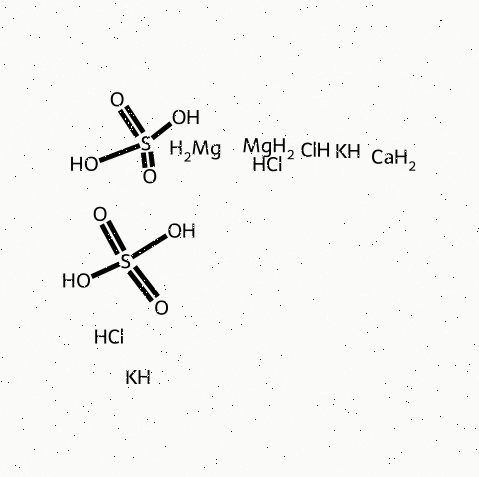 Cl.Cl.Cl.O=S(=O)(O)O.O=S(=O)(O)O.[CaH2].[KH].[KH].[MgH2].[MgH2]